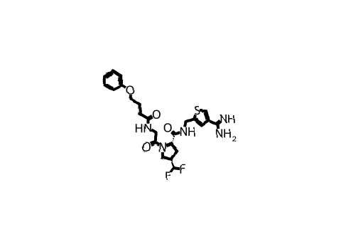 N=C(N)c1csc(CNC(=O)[C@@H]2C[C@@H](C(F)F)CN2C(=O)CNC(=O)CCCOc2ccccc2)c1